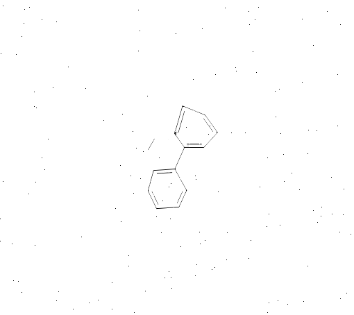 CCOC(=O)O.c1ccc(-c2ccccc2)cc1